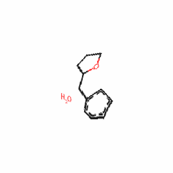 O.c1ccc(CC2CCCO2)cc1